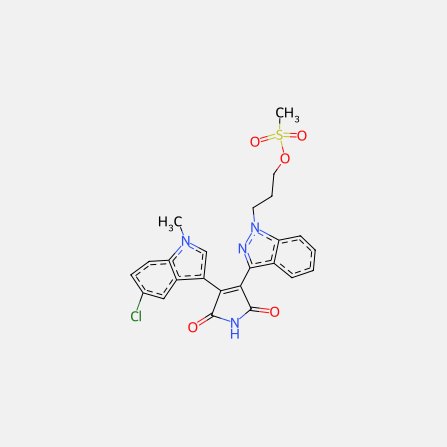 Cn1cc(C2=C(c3nn(CCCOS(C)(=O)=O)c4ccccc34)C(=O)NC2=O)c2cc(Cl)ccc21